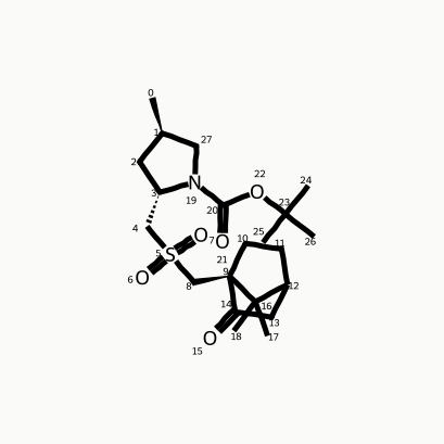 C[C@@H]1C[C@@H](CS(=O)(=O)C[C@]23CCC(CC2=O)C3(C)C)N(C(=O)OC(C)(C)C)C1